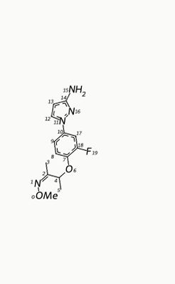 CO/N=C(/C)C(C)Oc1ccc(-n2ccc(N)n2)cc1F